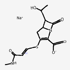 CNC(=O)/C=C/SC1=C(C(=O)[O-])N2C(=O)C(C(C)O)C2C1.[Na+]